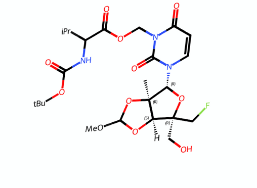 COC1O[C@@H]2[C@](CO)(CF)O[C@@H](n3ccc(=O)n(COC(=O)C(NC(=O)OC(C)(C)C)C(C)C)c3=O)[C@]2(C)O1